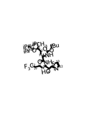 CC(CC[C@H](NC(=O)OC(C)(C)C)C(=O)N[C@@H](CCCC(F)(F)F)C(O)c1nccs1)O[Si](C(C)C)(C(C)C)C(C)C